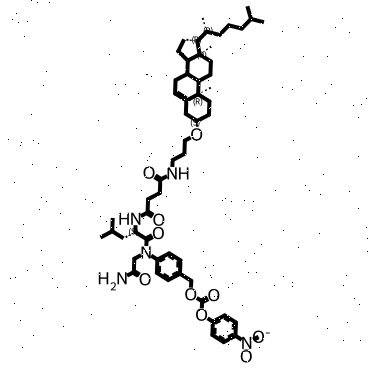 CC(C)CCC[C@@H](C)[C@H]1CCC2C3CC=C4C[C@@H](OCCCNC(=O)CCC(=O)N[C@@H](CC(C)C)C(=O)N(CC(N)=O)c5ccc(COC(=O)Oc6ccc([N+](=O)[O-])cc6)cc5)CC[C@]4(C)C3CC[C@@]21C